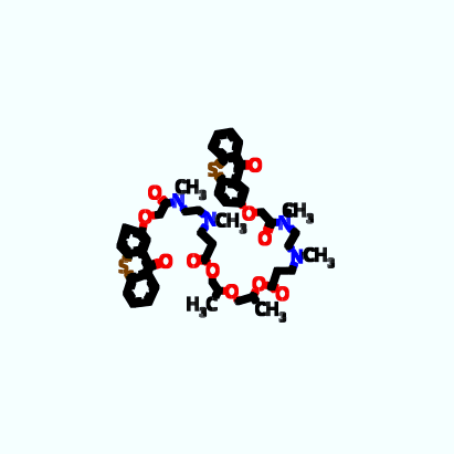 CC(COC(=O)CCN(C)CCN(C)C(=O)COc1ccc2sc3ccccc3c(=O)c2c1)OCC(C)OC(=O)CCN(C)CCN(C)C(=O)COc1ccc2sc3ccccc3c(=O)c2c1